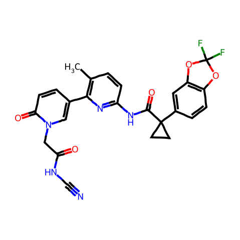 Cc1ccc(NC(=O)C2(c3ccc4c(c3)OC(F)(F)O4)CC2)nc1-c1ccc(=O)n(CC(=O)NC#N)c1